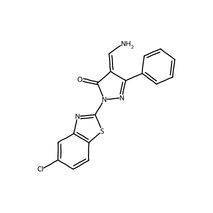 N/C=C1/C(=O)N(c2nc3cc(Cl)ccc3s2)N=C1c1ccccc1